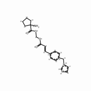 NC1(C(=O)OCOC(=O)/C=C/c2ccc(Cn3ccnc3)cc2)CCCC1